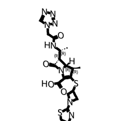 C[C@@H](NC(=O)Cn1cnnn1)[C@H]1C(=O)N2C(C(=O)O)=C(SC3CN(C4=NCCS4)C3)[C@H](C)[C@@H]12